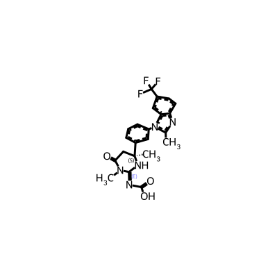 Cc1nc2ccc(C(F)(F)F)cc2n1-c1cccc([C@]2(C)CC(=O)N(C)/C(=N/C(=O)O)N2)c1